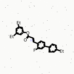 CCc1ccc(-c2ccc(/C=C/C(=O)Oc3cc(CC)cc(CC)c3)c(F)c2)cc1